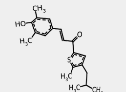 Cc1cc(C=CC(=O)c2cc(CC(C)C)c(C)s2)cc(C)c1O